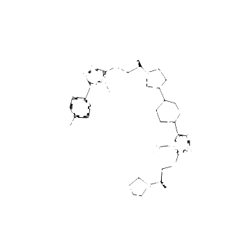 Cc1ccc(-c2nnc(SCC(=O)N3CCC(C4CCC(c5nnc(SCC(=O)N6CCCC6)n5N)CC4)C3)n2N)cc1